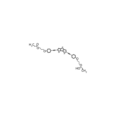 C=CC(=O)OCCCOc1ccc(C#Cc2cc3sc4cc(C#Cc5ccc(OCCCOC(O)C=C)cc5)sc4c3s2)cc1